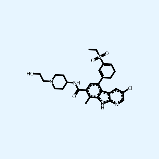 CCS(=O)(=O)C1=CCCC(c2cc(C(=O)NC3CCN(CCO)CC3)c(C)c3[nH]c4ncc(Cl)cc4c23)=C1